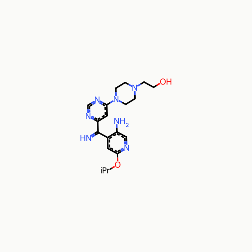 CC(C)Oc1cc(C(=N)c2cc(N3CCN(CCO)CC3)ncn2)c(N)cn1